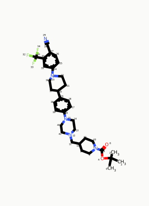 CC(C)(C)OC(=O)N1CCC(CN2CCN(c3ccc(C4CCN(c5ccc(C#N)c(C(F)(F)F)c5)CC4)cc3)CC2)CC1